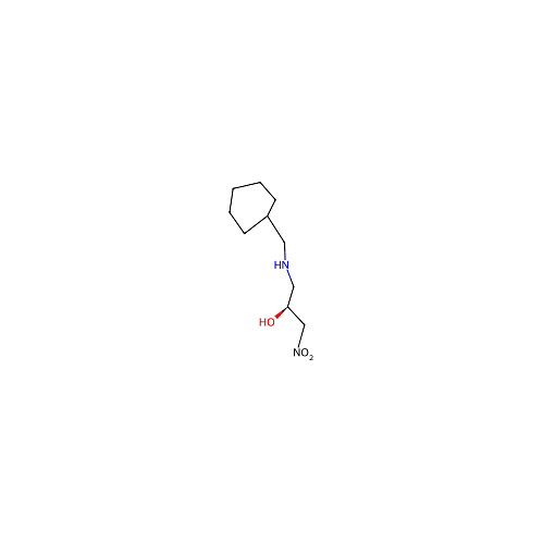 O=[N+]([O-])C[C@@H](O)CNCC1CCCCC1